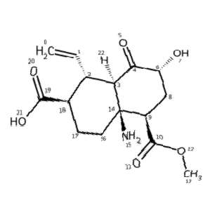 C=C[C@@H]1[C@H]2C(=O)[C@H](O)C[C@@H](C(=O)OC)[C@]2(N)CC[C@H]1C(=O)O